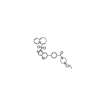 CN1CCN(C(=O)c2ccc(-c3cnc4cnn(S(=O)(=O)C5=CCCC=C6C=CC=CN65)c4c3)cc2)CC1